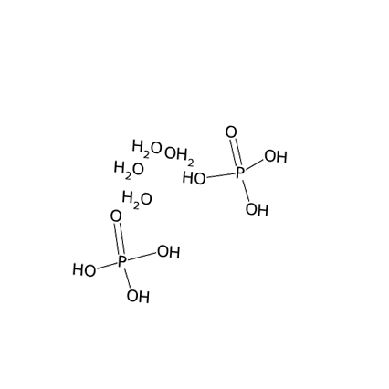 O.O.O.O.O=P(O)(O)O.O=P(O)(O)O